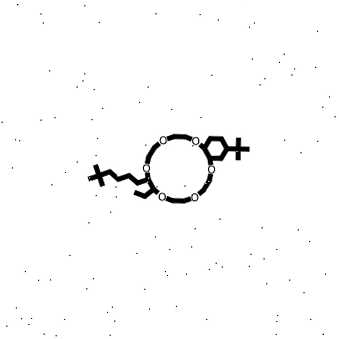 CCC1OCCOCCOC2CC(C(C)(C)C)CCC2OCCOCCOC1CCCCC(C)(C)C